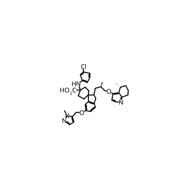 C[C@@H](COc1ccnc2c1[C@H](C)CCC2)CC1Cc2ccc(OCc3ccnn3C)cc2C12CCC(Nc1cccc(Cl)c1)(C(=O)O)CC2